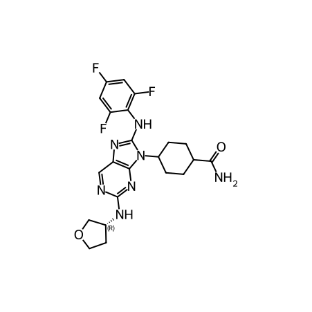 NC(=O)C1CCC(n2c(Nc3c(F)cc(F)cc3F)nc3cnc(N[C@@H]4CCOC4)nc32)CC1